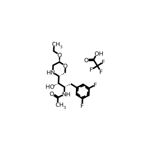 CCO[C@@H]1CN[C@@H]([C@@H](O)[C@H](Cc2cc(F)cc(F)c2)NC(C)=O)CO1.O=C(O)C(F)(F)F